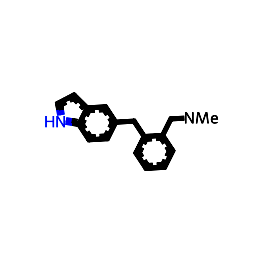 CNCc1ccccc1Cc1ccc2[nH]ccc2c1